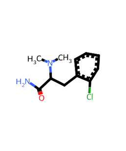 CN(C)C(Cc1ccccc1Cl)C(N)=O